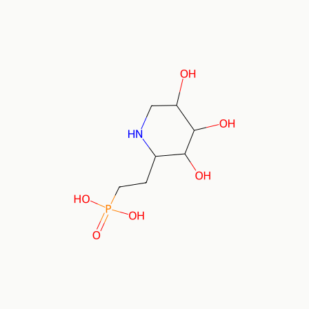 O=P(O)(O)CCC1NCC(O)C(O)C1O